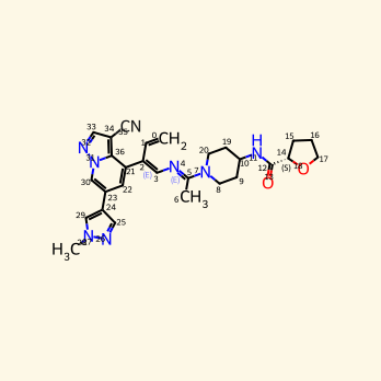 C=C/C(=C\N=C(/C)N1CCC(NC(=O)[C@@H]2CCCO2)CC1)c1cc(-c2cnn(C)c2)cn2ncc(C#N)c12